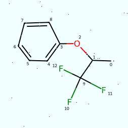 [CH2]C(Oc1ccccc1)C(F)(F)F